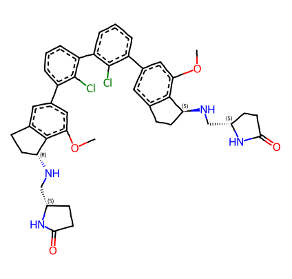 COc1cc(-c2cccc(-c3cccc(-c4cc5c(c(OC)c4)[C@H](NC[C@@H]4CCC(=O)N4)CC5)c3Cl)c2Cl)cc2c1[C@@H](NC[C@@H]1CCC(=O)N1)CC2